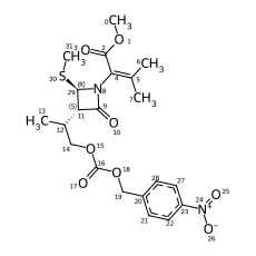 COC(=O)C(=C(C)C)N1C(=O)[C@H](C(C)COC(=O)OCc2ccc([N+](=O)[O-])cc2)[C@H]1SC